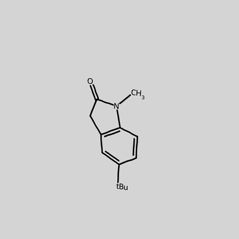 CN1C(=O)Cc2cc(C(C)(C)C)ccc21